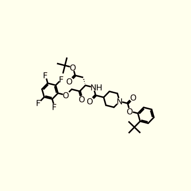 CC(C)(C)OC(=O)C[C@H](NC(=O)C1CCN(C(=O)Oc2ccccc2C(C)(C)C)CC1)C(=O)COc1c(F)c(F)cc(F)c1F